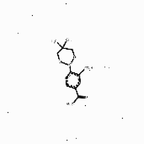 COC(=O)c1ccc(B2OCC(C)(C)CO2)c(C(=O)O)c1